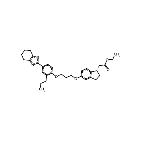 CCCc1cc(-c2nc3c(s2)CCCC3)ccc1OCCCOc1ccc2c(c1)CC[C@H]2CC(=O)OCC